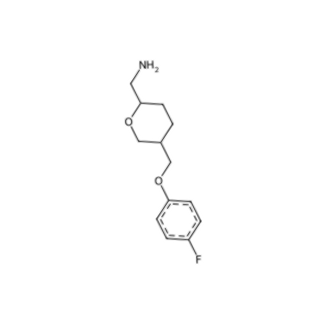 NCC1CCC(COc2ccc(F)cc2)CO1